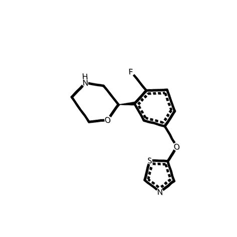 Fc1ccc(Oc2cncs2)cc1[C@@H]1CNCCO1